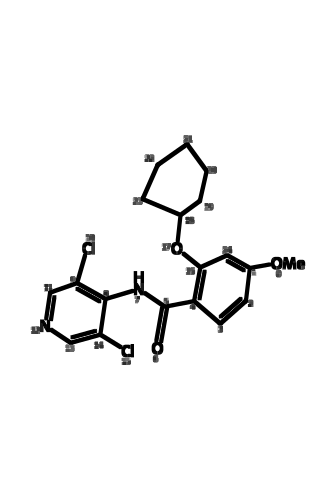 COc1ccc(C(=O)Nc2c(Cl)cncc2Cl)c(OC2CCCCC2)c1